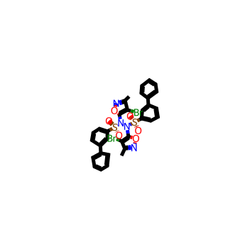 Cc1noc(N(N(c2onc(C)c2Br)S(=O)(=O)c2cccc(-c3ccccc3)c2)S(=O)(=O)c2cccc(-c3ccccc3)c2)c1Br